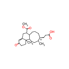 COC(=O)C1CC2=CC(=O)CCC2(C)C2CCC(C)[C@H](CCC(=O)O)CCCC12